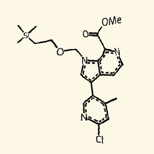 COC(=O)c1nccc2c(-c3cnc(Cl)cc3C)cn(COCC[Si](C)(C)C)c12